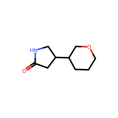 O=C1CC(C2CCCOC2)CN1